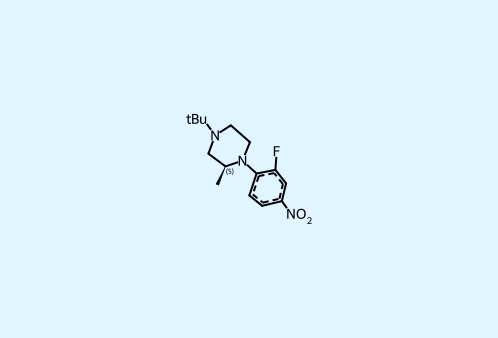 C[C@H]1CN(C(C)(C)C)CCN1c1ccc([N+](=O)[O-])cc1F